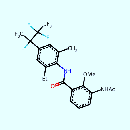 CCc1cc(C(F)(C(F)(F)F)C(F)(F)C(F)(F)F)cc(C)c1NC(=O)c1cccc(NC(C)=O)c1OC